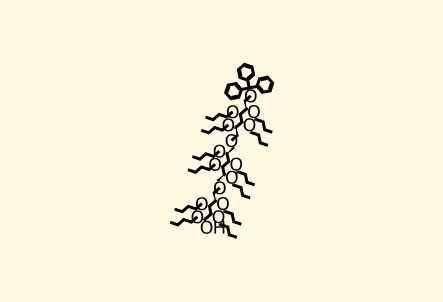 CCCCO[C@H]([C@@H](OCCCC)[C@H](COC[C@@H](OCCCC)[C@@H](OCCCC)[C@H](OCCCC)[C@@H](COC(c1ccccc1)(c1ccccc1)c1ccccc1)OCCCC)OCCCC)[C@H](COC[C@@H](OCCCC)[C@@H](OCCCC)[C@H](OCCCC)[C@@H](O)OCCCC)OCCCC